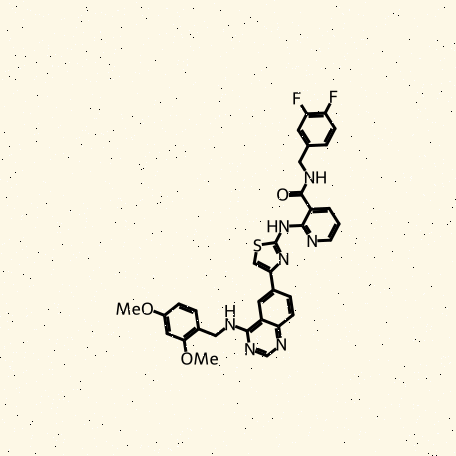 COc1ccc(CNc2ncnc3ccc(-c4csc(Nc5ncccc5C(=O)NCc5ccc(F)c(F)c5)n4)cc23)c(OC)c1